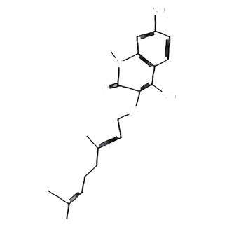 CC(C)=CCC/C(C)=C/COc1c(O)c2ccc(N)cc2n(C)c1=O